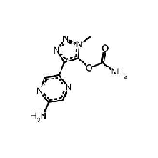 Cn1nnc(-c2cnc(N)cn2)c1OC(N)=O